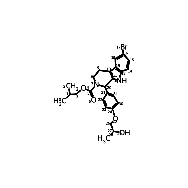 CC(C)COC(=O)N1CCc2c([nH]c3ccc(Br)cc23)C1c1ccc(OCC(C)O)cc1